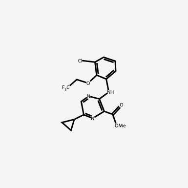 COC(=O)c1nc(C2CC2)cnc1Nc1cccc(Cl)c1OCC(F)(F)F